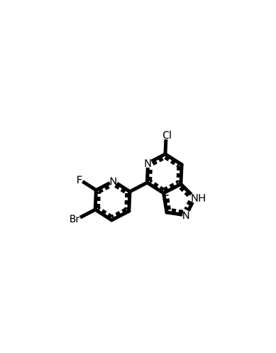 Fc1nc(-c2nc(Cl)cc3[nH]ncc23)ccc1Br